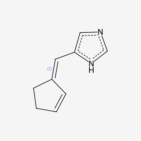 C1=C/C(=C\c2cnc[nH]2)CC1